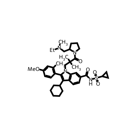 CCN(C)CC1CCCN1C(=O)C(C)(C)Cn1c(-c2ccc(OC)cc2C)c(C2CCCCC2)c2ccc(C(=O)NS(=O)(=O)C3CC3)cc21